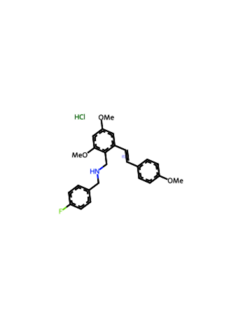 COc1ccc(/C=C/c2cc(OC)cc(OC)c2CNCc2ccc(F)cc2)cc1.Cl